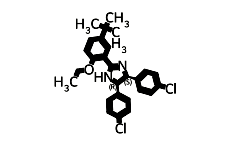 CCOc1ccc(C(C)(C)C)cc1C1=N[C@@H](c2ccc(Cl)cc2)[C@@H](c2ccc(Cl)cc2)N1